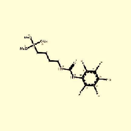 CO[Si](CCCCNC(=O)Nc1c(F)c(F)c(F)c(F)c1F)(OC)OC